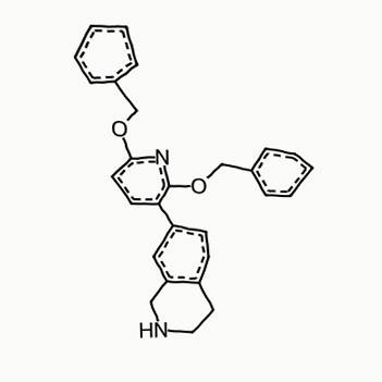 c1ccc(COc2ccc(-c3ccc4c(c3)CNCC4)c(OCc3ccccc3)n2)cc1